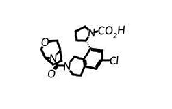 O=C(N1CCc2cc(Cl)cc([C@@H]3CCCN3C(=O)O)c2C1)N1C2CCC1COC2